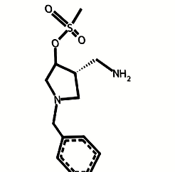 CS(=O)(=O)OC1CN(Cc2ccccc2)C[C@H]1CN